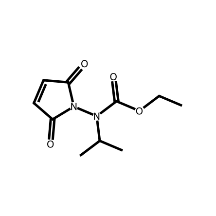 CCOC(=O)N(C(C)C)N1C(=O)C=CC1=O